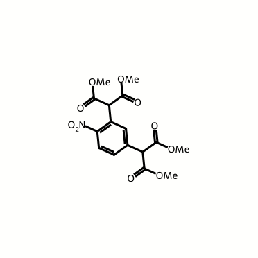 COC(=O)C(C(=O)OC)c1ccc([N+](=O)[O-])c(C(C(=O)OC)C(=O)OC)c1